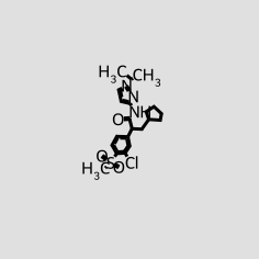 CC(C)n1ccc(NC(=O)C(CC2CCCC2)c2ccc(S(C)(=O)=O)c(Cl)c2)n1